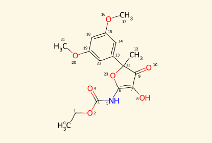 CCOC(=O)NC1=C(O)C(=O)C(C)(c2cc(OC)cc(OC)c2)O1